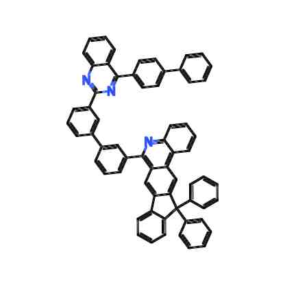 c1ccc(-c2ccc(-c3nc(-c4cccc(-c5cccc(-c6nc7ccccc7c7cc8c(cc67)-c6ccccc6C8(c6ccccc6)c6ccccc6)c5)c4)nc4ccccc34)cc2)cc1